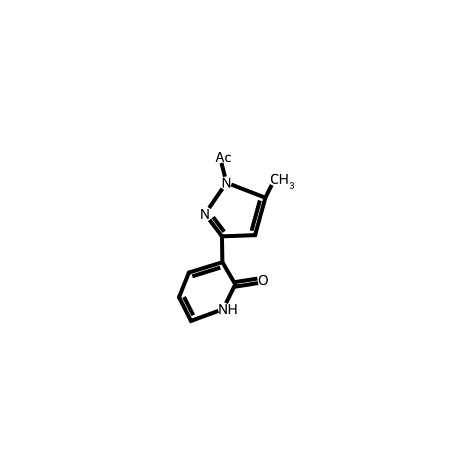 CC(=O)n1nc(-c2ccc[nH]c2=O)cc1C